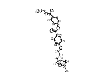 CCC(C)COC(=O)c1ccc(OC(=O)c2ccc(OCCC[Si](C)(C)O[SiH](C)C)cc2)cc1